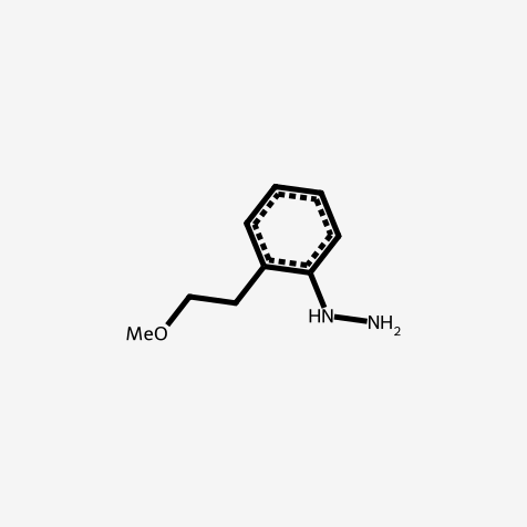 COCCc1ccccc1NN